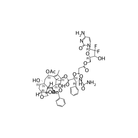 CC(=O)O[C@H]1C[C@]2(C)[C@@H](O)C[C@H]3OC[C@@]3(OC(C)=O)[C@H]2[C@H](OC(=O)c2ccccc2)[C@]2(O)C[C@H](OC(=O)[C@@H](OC(=O)CC(=O)OC[C@H]3O[C@@H](n4ccc(N)nc4=O)C(F)(F)C3O)[C@H](NC(N)=O)c3ccccc3)C(C)=C1C2(C)C